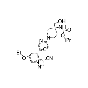 CCOc1cc(-c2ccc(N3CCC(CO)(NC(=O)OC(C)C)CC3)nc2)c2c(C#N)cnn2c1